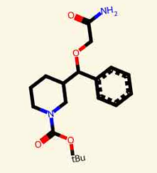 CC(C)(C)OC(=O)N1CCCC(C(OCC(N)=O)c2ccccc2)C1